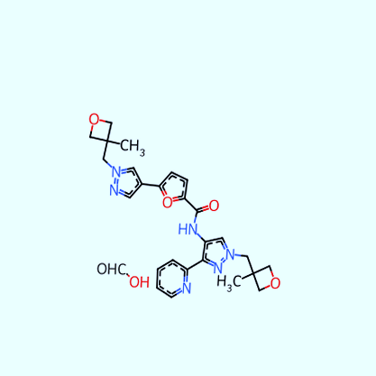 CC1(Cn2cc(-c3ccc(C(=O)Nc4cn(CC5(C)COC5)nc4-c4ccccn4)o3)cn2)COC1.O=CO